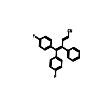 N#CC=CC(=C(c1ccc(F)cc1)c1ccc(F)cc1)c1ccccc1